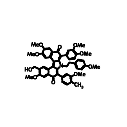 COc1ccc(CCn2c3c(c4c2=C(c2ccc(OC)c(OC)c2)C(=O)c2cc(OC)c(OC)cc2-4)-c2cc(CO)c(OC)cc2C(=O)C=3c2ccc(C)c(OC)c2)cc1